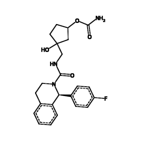 NC(=O)OC1CCC(O)(CNC(=O)N2CCc3ccccc3[C@@H]2c2ccc(F)cc2)C1